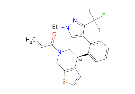 C=CC(=O)N1Cc2sccc2[C@H](c2ccccc2-c2cn(CC)nc2C(F)(I)I)C1